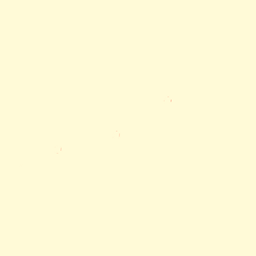 CCCCOCCOCCOCC(C)CC